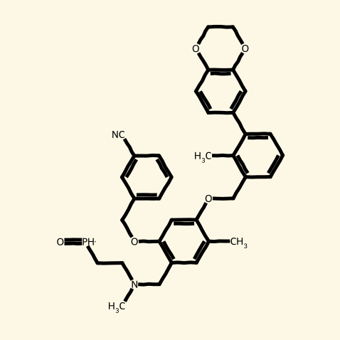 Cc1cc(CN(C)CC[PH]=O)c(OCc2cccc(C#N)c2)cc1OCc1cccc(-c2ccc3c(c2)OCCO3)c1C